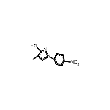 Cc1cn(-c2ccc([N+](=O)[O-])cc2)nc1O